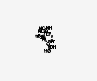 C=C(OCCCC)/C(C)=C(/C=C/c1ccc(N(O)CCO)cc1CCC)SCCCC1=C(C#N)/C(=C(\C#N)C2CN2)OC1C(F)(F)F